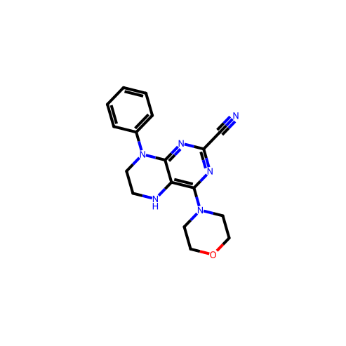 N#Cc1nc(N2CCOCC2)c2c(n1)N(c1ccccc1)CCN2